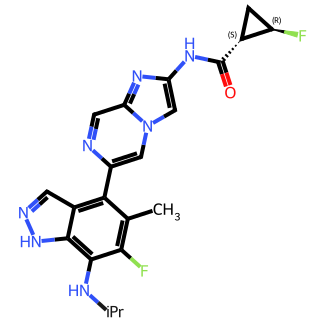 Cc1c(F)c(NC(C)C)c2[nH]ncc2c1-c1cn2cc(NC(=O)[C@@H]3C[C@H]3F)nc2cn1